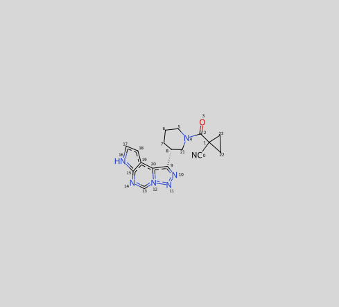 N#CC1(C(=O)N2CCC[C@@H](c3nnn4cnc5[nH]ccc5c34)C2)CC1